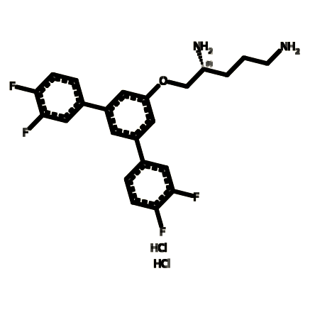 Cl.Cl.NCCC[C@@H](N)COc1cc(-c2ccc(F)c(F)c2)cc(-c2ccc(F)c(F)c2)c1